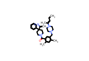 C=C/C=C(\C)N1CCN(Cc2cc(C(=O)N3CCC(C(=C)N)(c4ccccc4)CC3)c(C)cc2C)CC1